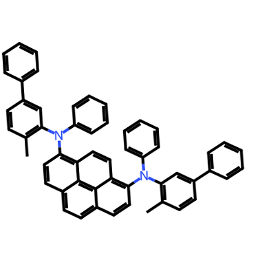 Cc1ccc(-c2ccccc2)cc1N(c1ccccc1)c1ccc2ccc3ccc(N(c4ccccc4)c4cc(-c5ccccc5)ccc4C)c4ccc1c2c34